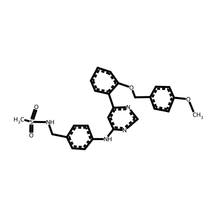 COc1ccc(COc2ccccc2-c2cc(Nc3ccc(CNS(C)(=O)=O)cc3)ncn2)cc1